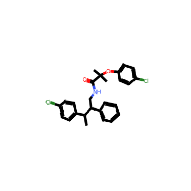 CC(c1ccc(Cl)cc1)C(CNC(=O)C(C)(C)Oc1ccc(Cl)cc1)c1ccccc1